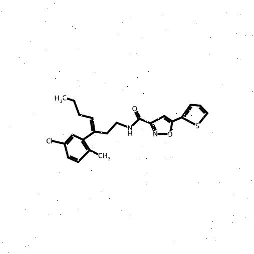 CCC/C=C(/CCNC(=O)c1cc(-c2cccs2)on1)c1cc(Cl)ccc1C